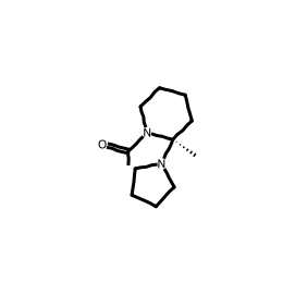 CC(=O)N1CCCC[C@@]1(C)N1CCCC1